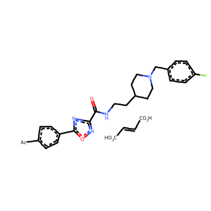 CC(=O)c1ccc(-c2nc(C(=O)NCCC3CCN(Cc4ccc(F)cc4)CC3)no2)cc1.O=C(O)C=CC(=O)O